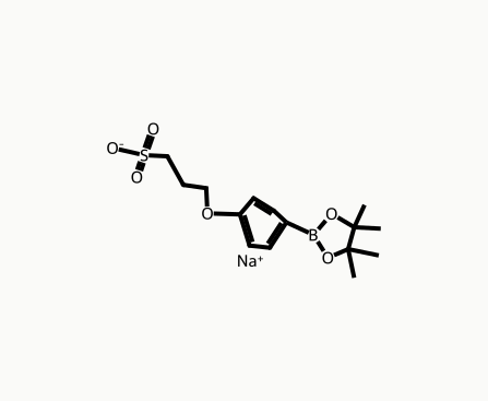 CC1(C)OB(c2ccc(OCCCS(=O)(=O)[O-])cc2)OC1(C)C.[Na+]